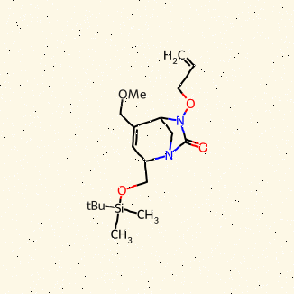 C=CCON1C(=O)N2CC1C(COC)=CC2CO[Si](C)(C)C(C)(C)C